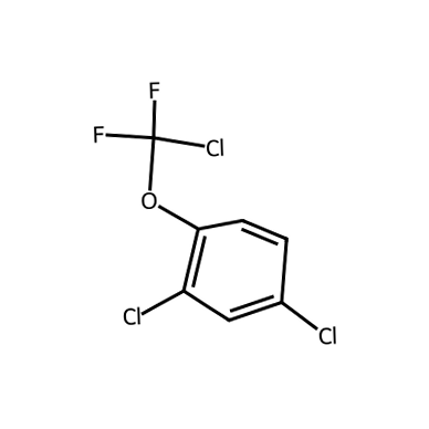 FC(F)(Cl)Oc1ccc(Cl)cc1Cl